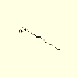 CCCCCCCCCCCCCCCCCN1CCNC1